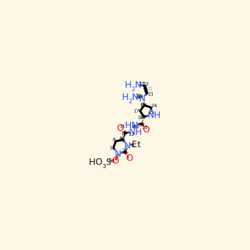 CCN1C(=O)N(OS(=O)(=O)O)CC[C@H]1C(=O)NNC(=O)[C@@H]1C[C@H](N(N)/C=C\N)CN1